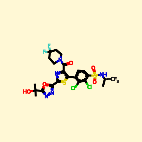 C[C@@H](NS(=O)(=O)c1ccc(-c2sc(-c3nnc(C(C)(C)O)o3)nc2C(=O)N2CCC(F)(F)CC2)c(Cl)c1Cl)C(F)(F)F